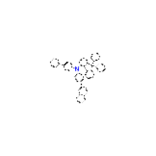 c1ccc(-c2ccc(N(c3ccc(-c4ccc5ccccc5c4)cc3)c3cccc4c3-c3ccccc3C4(c3ccccc3)c3ccccc3)cc2)cc1